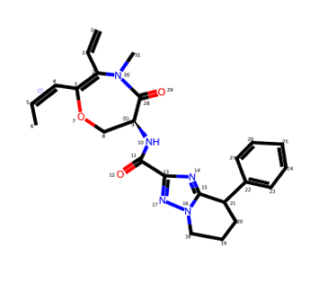 C=CC1=C(/C=C\C)OC[C@H](NC(=O)c2nc3n(n2)CCCC3c2ccccc2)C(=O)N1C